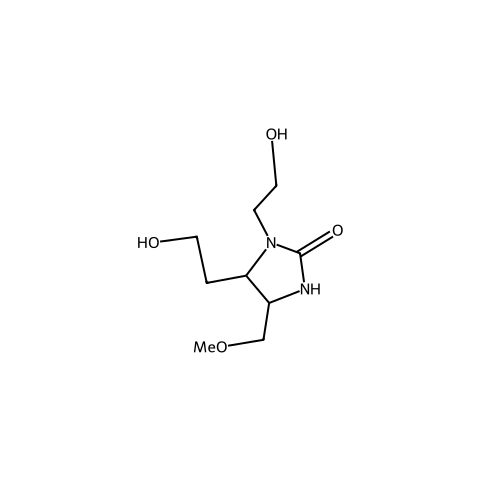 COCC1NC(=O)N(CCO)C1CCO